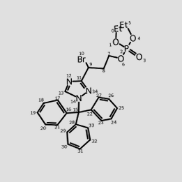 CCOP(=O)(OCC)OCCC(Br)c1ncn(C(c2ccccc2)(c2ccccc2)c2ccccc2)n1